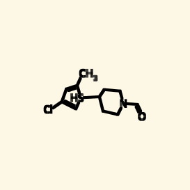 CC1=CC(Cl)=C[SH]1C1CCN(C=O)CC1